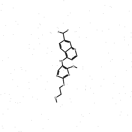 COCCOc1ncc(Nc2ccnc3cc(C(F)F)ccc23)c(OC)n1